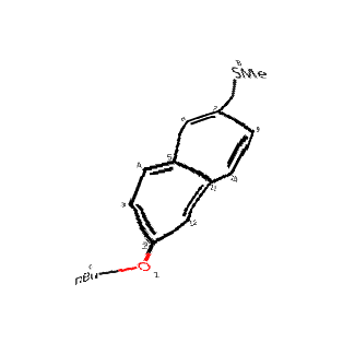 CCCCOc1ccc2cc(SC)ccc2c1